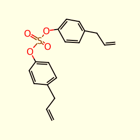 C=CCc1ccc(OS(=O)(=O)Oc2ccc(CC=C)cc2)cc1